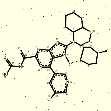 C[C@H]1CC[C@H](Cn2c(N3CCOC4CCCCC43)nc3nc(C(=N)NC(=O)O)nc(-c4cncc(Cl)c4)c32)CC1